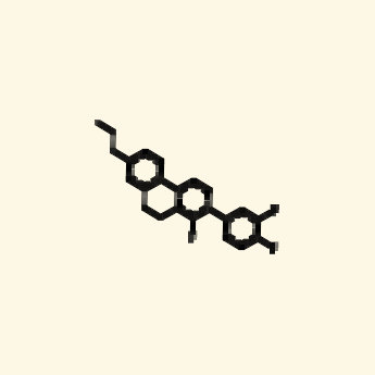 CCCc1ccc2c(c1)CCc1c-2ccc(-c2ccc(F)c(F)c2)c1F